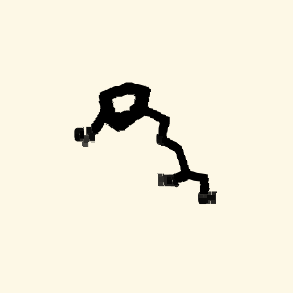 O=[N+]([O-])c1cccc(COCC(O)CO)c1